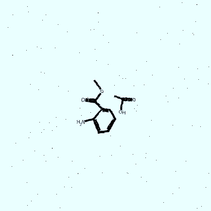 CC(=O)O.COC(=O)c1ccccc1N